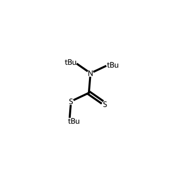 CC(C)(C)SC(=S)N(C(C)(C)C)C(C)(C)C